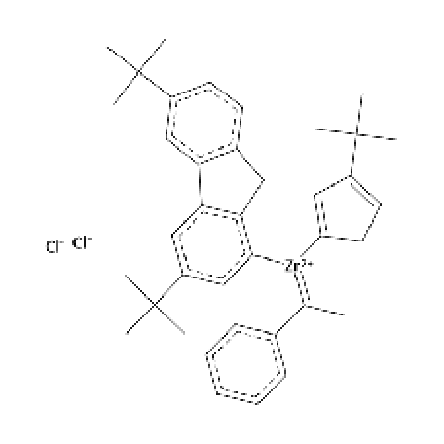 C/[C](c1ccccc1)=[Zr+2](\[C]1=CC(C(C)(C)C)=CC1)[c]1cc(C(C)(C)C)cc2c1Cc1ccc(C(C)(C)C)cc1-2.[Cl-].[Cl-]